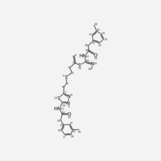 C=C(CCSCCc1nnc(NC(=O)Cc2cccc(C)c2)s1)S/C(=N\C)NC(=O)Cc1cccc(C)c1